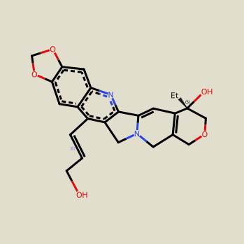 CC[C@@]1(O)COCC2=C1C=C1c3nc4cc5c(cc4c(/C=C/CO)c3CN1C2)OCO5